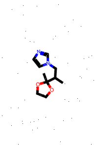 CC(Cn1ccnc1)C1(C)OCCO1